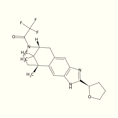 CC1(C)[C@H]2Cc3cc4nc([C@H]5CCCO5)[nH]c4cc3[C@]1(C)CCN2C(=O)C(F)(F)F